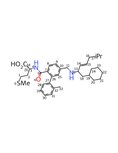 CSCC[C@H](NC(=O)c1ccc(CNC(C=CCC(C)C)CC2CCCCC2)cc1-c1ccccc1C)C(=O)O